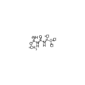 COC(=N)NC(=O)NC(Cl)C(Cl)Cl